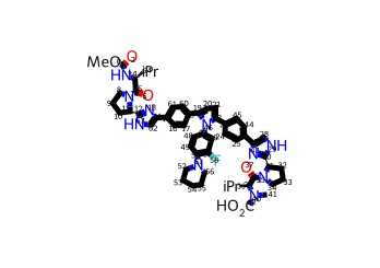 COC(=O)N[C@H](C(=O)N1CCC[C@H]1c1nc(-c2ccc(-c3ccc(-c4ccc(-c5c[nH]c([C@@H]6CCCN6C(=O)[C@H](C(C)C)N(C)C(=O)O)n5)cc4)n3-c3ccc(N4CCCCC4)c(F)c3)cc2)c[nH]1)C(C)C